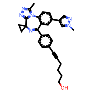 Cc1nnc2n1-c1ccc(-c3cnn(C)c3)cc1C(c1ccc(C#CCCCCO)cc1)=NC21CC1